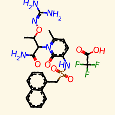 Cc1ccc(NS(=O)(=O)Cc2cccc3ccccc23)c(=O)n1C(C(N)=O)C(C)ON=C(N)N.O=C(O)C(F)(F)F